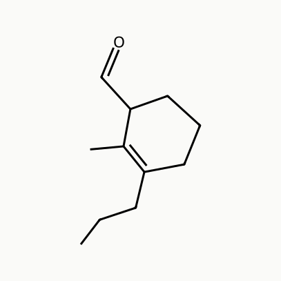 CCCC1=C(C)C(C=O)CCC1